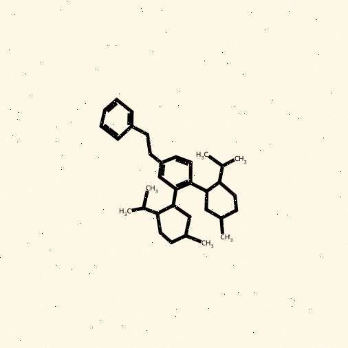 CC1CCC(C(C)C)C(c2ccc(CCc3ccccc3)cc2C2CC(C)CCC2C(C)C)C1